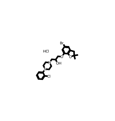 CC1(C)Cc2cc(Br)cc(OCC(O)CN3CCN(c4ccccc4Cl)CC3)c2O1.Cl